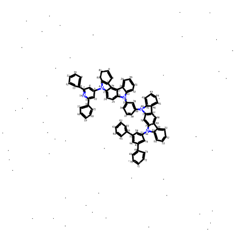 C1=Cc2c(n(-c3cc(-c4ccccc4)nc(-c4ccccc4)c3)c3ccc4c(c5ccccc5n4-c4cccc(-n5c6ccccc6c6cc7c8ccccc8n(-c8cc(-c9ccccc9)cc(-c9ccccc9)c8)c7cc65)c4)c23)CC1